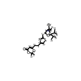 C/C(Br)=C\[C@@H](Cc1nc(CCC2=CC(=O)OC(C)(C)O2)cs1)O[Si](C(C)C)(C(C)C)C(C)C